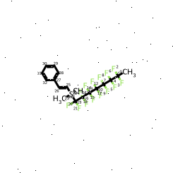 CC(F)(F)C(F)(F)C(F)(F)C(F)(F)C(F)(F)C(F)(F)C(F)(F)[Si](C)(C)C=Cc1ccccc1